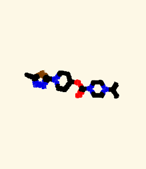 Cc1nnc(N2CCC(OC(=O)N3CCN(C(C)C)CC3)CC2)s1